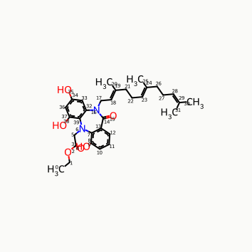 CCOC(=O)CN1c2c(O)cccc2C(=O)N(C/C=C(\C)CC/C=C(\C)CCC=C(C)C)c2cc(O)cc(O)c21